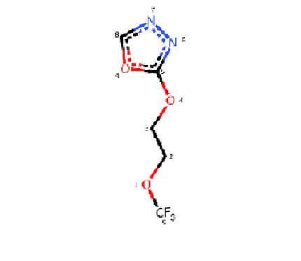 FC(F)(F)OCCOc1nnco1